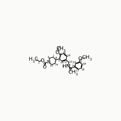 CCOC(=O)N1CCC(c2cc(CN[C@H](C)c3cccc(OC)c3)ccc2OC)CC1